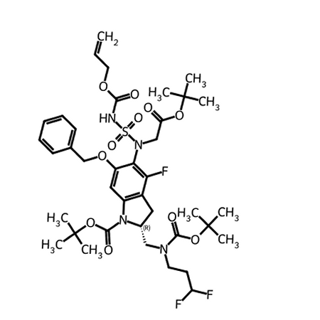 C=CCOC(=O)NS(=O)(=O)N(CC(=O)OC(C)(C)C)c1c(OCc2ccccc2)cc2c(c1F)C[C@H](CN(CCC(F)F)C(=O)OC(C)(C)C)N2C(=O)OC(C)(C)C